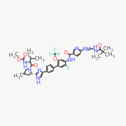 COC(=O)N[C@H](C(=O)N1C[C@@H](C)C[C@H]1c1nc(-c2ccc(-c3cc(F)c(NC(=O)c4ccc(NCCNC(=O)C(C)(C)C)nc4)cc3OC(F)(F)F)cc2)c[nH]1)C(C)C